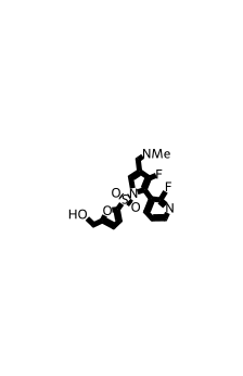 CNCc1cn(S(=O)(=O)c2ccc(CO)o2)c(-c2cccnc2F)c1F